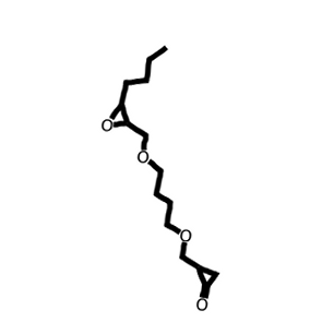 CCCCC1OC1COCCCCOCC1CC1=O